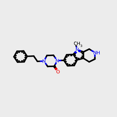 Cn1c2c(c3ccc(N4CCN(CCc5ccccc5)CC4=O)cc31)CCNC2